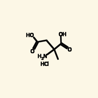 CC(N)(CC(=O)O)C(=O)O.Cl